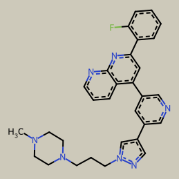 CN1CCN(CCCn2cc(-c3cncc(-c4cc(-c5ccccc5F)nc5ncccc45)c3)cn2)CC1